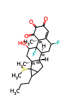 CCCC1C2C[C@H]3[C@@H]4CC(F)C5=CC(=O)C(=O)C(=O)[C@]5(C)C4(F)C(O)C[C@]3(C)C12SC